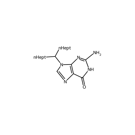 CCCCCCCC(CCCCCCC)n1cnc2c(=O)[nH]c(N)nc21